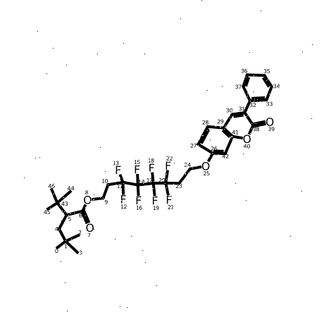 CC(C)(C)CC(C(=O)OCCC(F)(F)C(F)(F)C(F)(F)C(F)(F)CCOc1ccc2cc(-c3ccccc3)c(=O)oc2c1)C(C)(C)C